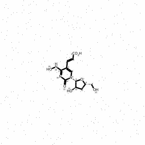 O=C(O)C=Cc1cn([C@@H]2O[C@H](CO)C[C@H]2O)c(=O)nc1NO